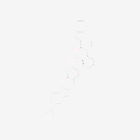 Cn1cc(-c2cccc(N3CCn4c(cc5c4CCCC5)C3=O)c2CO)cc(Nc2cc3n(n2)CCN(C2COC2)C3)c1=O